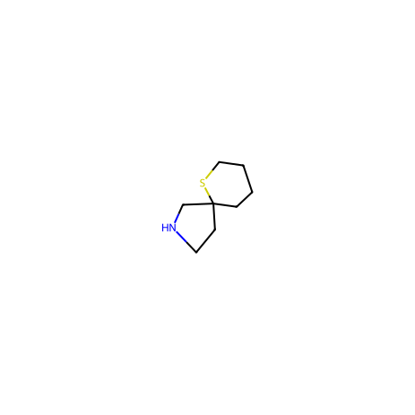 C1CCC2(CCNC2)SC1